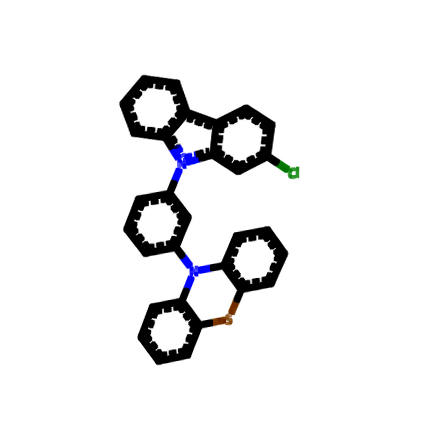 Clc1ccc2c3ccccc3n(-c3cccc(N4c5ccccc5Sc5ccccc54)c3)c2c1